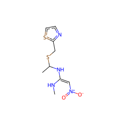 CNC(=C[N+](=O)[O-])NC(C)SCc1nccs1